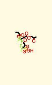 C=CC(=O)OC(OCCC(F)(F)S(=O)(=O)O)(C(=O)OCC(C)=O)C(F)(F)F